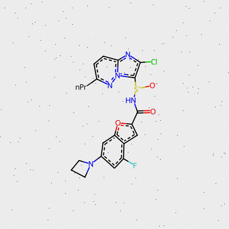 CCCc1ccc2nc(Cl)c([S+]([O-])NC(=O)c3cc4c(F)cc(N5CCC5)cc4o3)n2n1